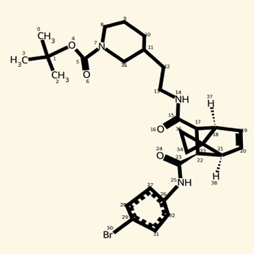 CC(C)(C)OC(=O)N1CCCC(CCNC(=O)C2[C@H]3C=C[C@@H]([C@H]2C(=O)Nc2ccc(Br)cc2)C32CC2)C1